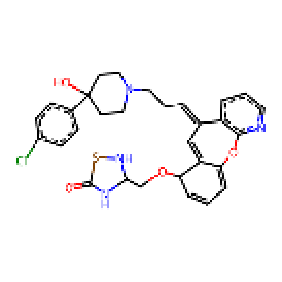 O=C1NC(COC2C=CC=C3Oc4ncccc4C(=CCCN4CCC(O)(c5ccc(Cl)cc5)CC4)C=C32)NS1